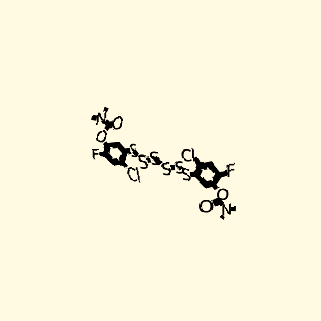 CN(C)C(=O)Oc1cc(SSSSSSc2cc(OC(=O)N(C)C)c(F)cc2Cl)c(Cl)cc1F